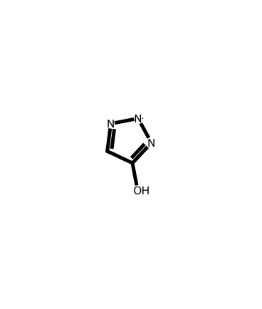 OC1=N[N]N=C1